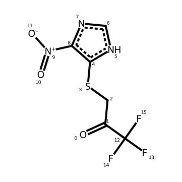 O=C(CSc1[nH]cnc1[N+](=O)[O-])C(F)(F)F